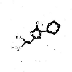 C/C(=C\c1cc(-c2ccccc2)c(C)s1)C(=O)O